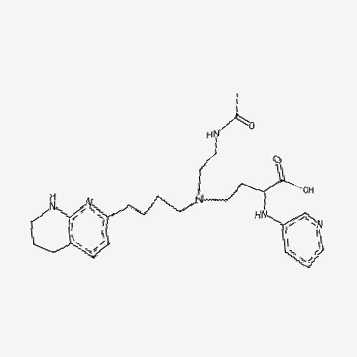 CC(=O)NCCN(CCCCc1ccc2c(n1)NCCC2)CCC(Nc1cccnc1)C(=O)O